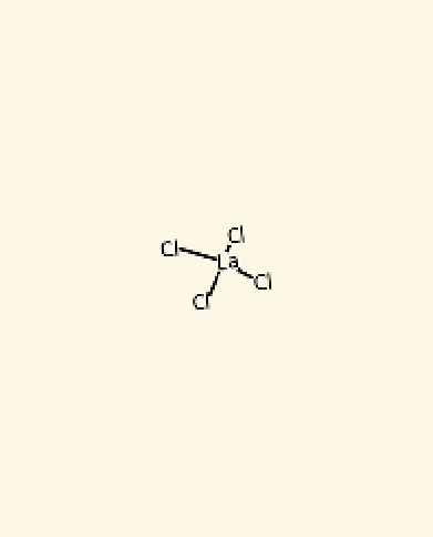 [Cl][La]([Cl])([Cl])[Cl]